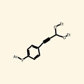 CCOC(C#Cc1ccc(SC(C)=O)cc1)OCC